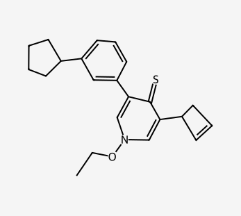 CCOn1cc(-c2cccc(C3CCCC3)c2)c(=S)c(C2C=CC2)c1